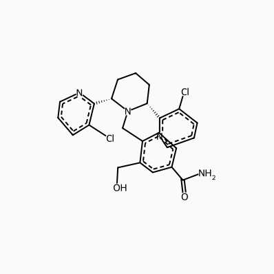 NC(=O)c1ccc(CN2[C@@H](c3ncccc3Cl)CCC[C@H]2c2ncccc2Cl)c(CO)c1